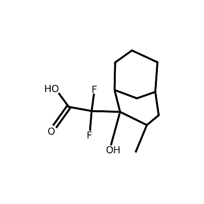 CC1CC2CCCC(C2)C1(O)C(F)(F)C(=O)O